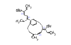 C=C/C(=C\C=C(/C=C)C(C)(C)C)c1cc2ccc1CCC(=C)/C=C\C(=C(/C=C)C(C)(C)C)CC2